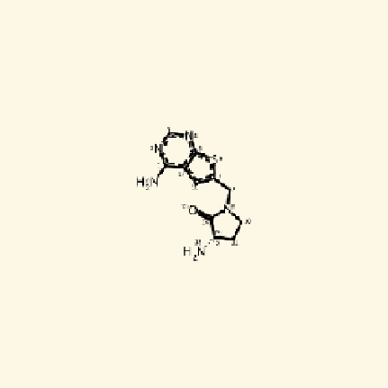 Nc1ncnc2sc(CN3CC[C@H](N)C3=O)cc12